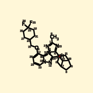 Cc1nsc(N2CC3CCC(C2)C3Nc2nc3c(OCC4CCC(F)(F)CC4)cccn3n2)n1